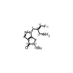 CC(C)(C)N1Cc2c(cnn2CC(=CF)CN)C1=O